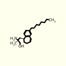 CCCCCCCCc1ccc2c(c1)C=CCC[C@H]2C[C@](C)(N)CO